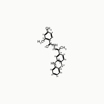 CC(=NNC(=O)c1ccc(C)cc1C)c1ccc2c(c1)Nc1ccccc1S2